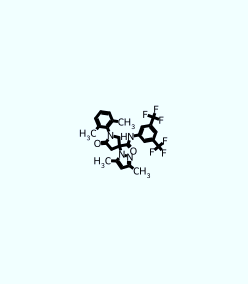 Cc1cc(C)n(C2(C(=O)Nc3cc(C(F)(F)F)cc(C(F)(F)F)c3)CC(=O)N(c3c(C)cccc3C)C2)n1